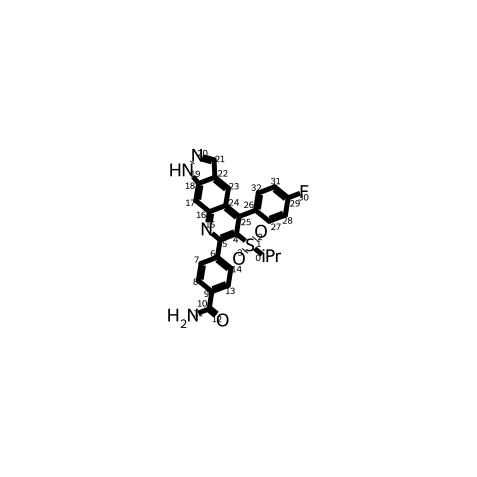 CC(C)S(=O)(=O)c1c(-c2ccc(C(N)=O)cc2)nc2cc3[nH]ncc3cc2c1-c1ccc(F)cc1